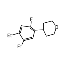 CCc1cc(F)c(C2CCOCC2)cc1CC